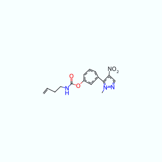 C=CCCNC(=O)Oc1cccc(-c2c([N+](=O)[O-])cnn2C)c1